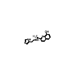 C=C(NCCc1cnc[nH]1)c1ccc2cccc(O)c2n1